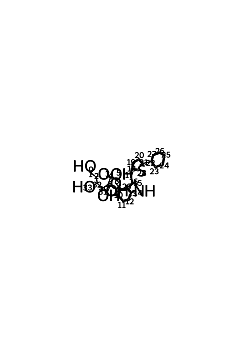 OC[C@H]1O[C@H](O)[C@@](O)(Oc2cccc3[nH]cc(Cc4ccc(-c5ccccc5)s4)c23)[C@@H](O)[C@@H]1O